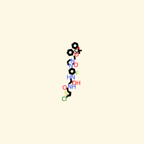 CC(C)(C)[Si](OCCN1CCCN(c2ccc(NC[C@H](O)CNC(=O)c3ccc(Cl)s3)c(F)c2)C1=O)(c1ccccc1)c1ccccc1